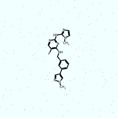 Cn1cc(-c2cccc(CNc3nc(Nc4nccn4C)ncc3F)c2)cn1